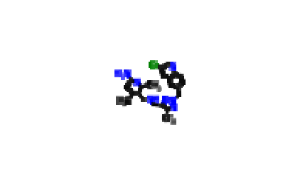 Cc1cc(N)nc(C)c1CNCc1nn(Cc2ccc3ncc(Cl)cc3c2)nc1C(F)(F)F